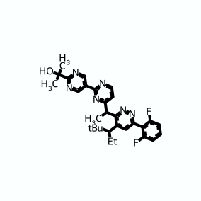 CCC(c1cc(-c2c(F)cccc2F)nnc1C(C)c1ccnc(-c2cnc(C(C)(C)O)nc2)n1)C(C)(C)C